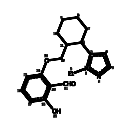 CCn1nccc1C1CCCCC1COc1cccc(O)c1C=O